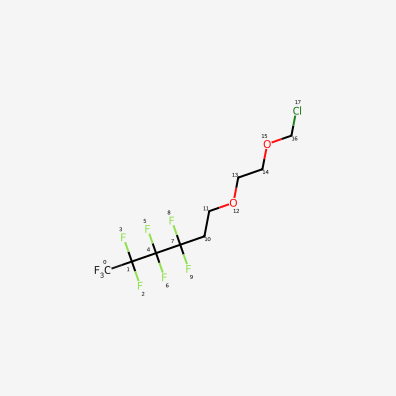 FC(F)(F)C(F)(F)C(F)(F)C(F)(F)CCOCCOCCl